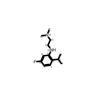 CC(C)c1ccc(F)cc1NCCN(C)C